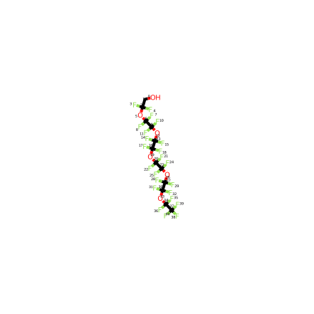 OCC(F)(F)OC(F)(F)C(F)(F)OC(F)(F)C(F)(F)OC(F)(F)C(F)(F)OC(F)(F)C(F)(F)OC(F)(F)C(F)(F)F